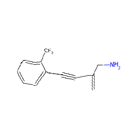 C=C(C#Cc1ccccc1C(F)(F)F)CN